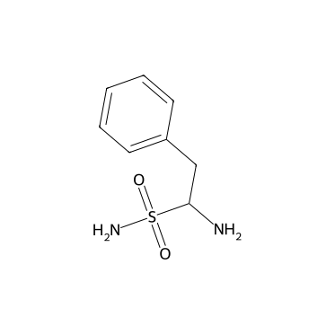 NC(Cc1ccccc1)S(N)(=O)=O